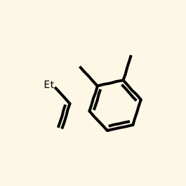 C=CCC.Cc1ccccc1C